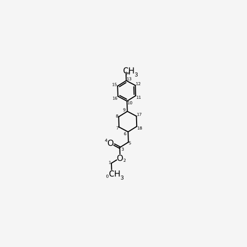 CCOC(=O)CC1CCC(c2ccc(C)cc2)CC1